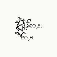 CCOC(=O)c1cn2c3c(c(F)c(F)cc3c1=O)Oc1ccc(C(=O)O)cc1-2